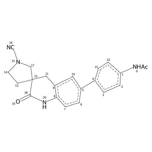 CC(=O)Nc1ccc(-c2ccc3c(c2)CC2(CCN(C#N)C2)C(=O)N3)cc1